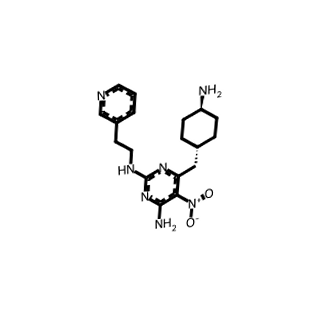 Nc1nc(NCCc2cccnc2)nc(C[C@H]2CC[C@H](N)CC2)c1[N+](=O)[O-]